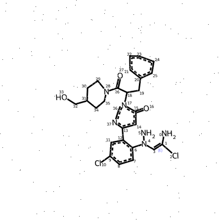 N/C(Cl)=C\N(N)c1ccc(Cl)cc1-c1cc(=O)n(C(Cc2ccccc2)C(=O)N2CCC(CO)CC2)cn1